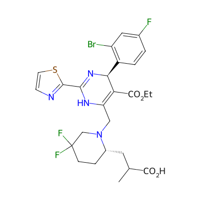 CCOC(=O)C1=C(CN2CC(F)(F)CC[C@H]2CC(C)C(=O)O)NC(c2nccs2)=N[C@H]1c1ccc(F)cc1Br